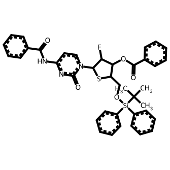 CC(C)(C)[Si](OCC1SC(n2ccc(NC(=O)c3ccccc3)nc2=O)C(F)C1OC(=O)c1ccccc1)(c1ccccc1)c1ccccc1